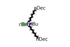 CCCCCCCCCCCCCCCCCC[N+](CCCC)(CCCC)CCCCCCCCCCCCCCCCCC.[Br-]